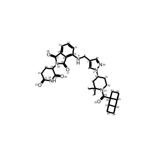 CC1(C)C[C@@H](n2cc(CNc3cccc4c3C(=O)N(C3CCC(=O)NC3=O)C4=O)cn2)CCN1C(=O)C12C3C4C5C3C1C5C42